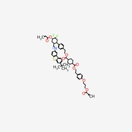 C#CC(=O)OCCCOc1ccc(CCOC(=O)C2CCC(C(=O)OCCc3ccc(C4CC(F)(F)C(OC(=O)C=C)CC4/C=N/c4ccc5sc6cc(C(C)(C)C)ccc6c5c4)cc3)CC2)cc1